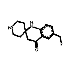 O=C1CC2(CCNCC2)Nc2ccc(CF)cc21